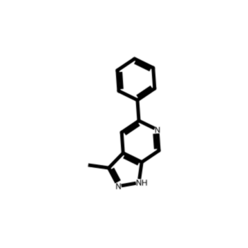 Cc1n[nH]c2cnc(-c3ccccc3)cc12